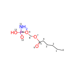 CCCCCC(=O)OCOP(N)(=O)O